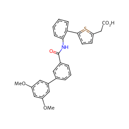 COc1cc(OC)cc(-c2cccc(C(=O)Nc3ccccc3-c3ccc(CC(=O)O)s3)c2)c1